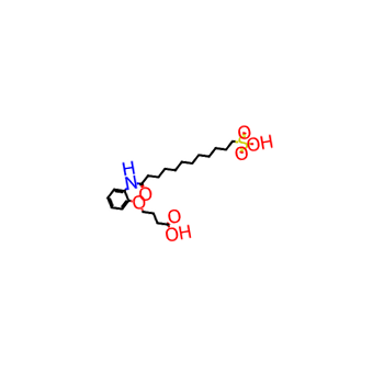 O=C(O)CCCOc1ccccc1NC(=O)CCCCCCCCCCCS(=O)(=O)O